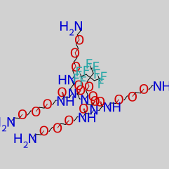 NCCOCCOCCOCCNC(=O)CN(CC(=O)NCCOCCOCCOCCN)C(=O)CN(CC(=O)N(CC(=O)NCCOCCOCCOCCN)CC(=O)NCCOCCOCCOCCN)C(=O)COCC(CC(F)(F)F)(CC(F)(F)F)CC(F)(F)F